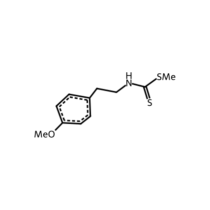 COc1ccc(CCNC(=S)SC)cc1